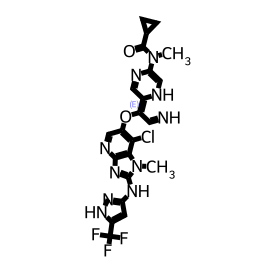 CN(C(=O)C1CC1)C1=CN/C(=C(\C=N)Oc2cnc3nc(Nc4cc(C(F)(F)F)[nH]n4)n(C)c3c2Cl)C=N1